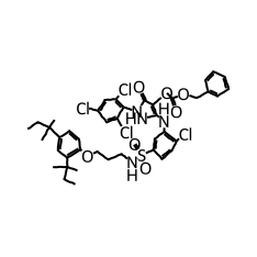 CCC(C)(C)c1ccc(OCCCNS(=O)(=O)c2ccc(Cl)c(Nc3[nH]n(-c4c(Cl)cc(Cl)cc4Cl)c(=O)c3OC(=O)OCc3ccccc3)c2)c(C(C)(C)CC)c1